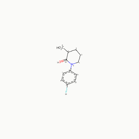 O=C(O)C1CCCN(c2ccc(F)cc2)C1=O